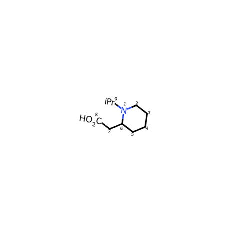 CC(C)N1CCCCC1CC(=O)O